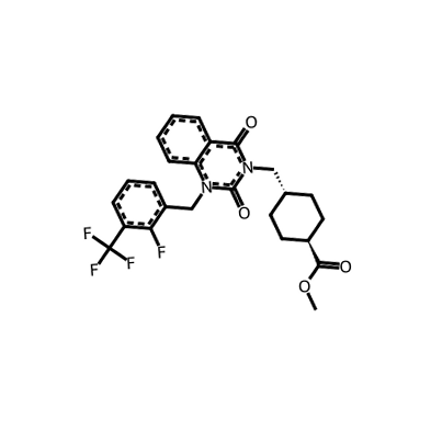 COC(=O)[C@H]1CC[C@H](Cn2c(=O)c3ccccc3n(Cc3cccc(C(F)(F)F)c3F)c2=O)CC1